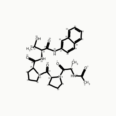 CC(=O)N[C@@H](C)C(=O)N1CCC[C@H]1C(=O)N1CCC[C@H]1C(=O)N[C@H](C(=O)Nc1ccc2ccccc2c1)[C@@H](C)O